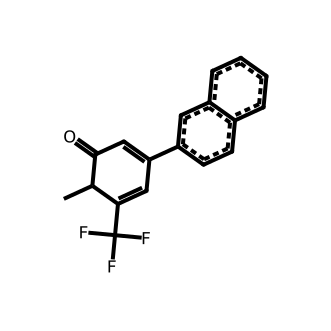 CC1C(=O)C=C(c2ccc3ccccc3c2)C=C1C(F)(F)F